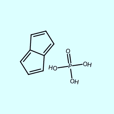 C1=CC2=CC=CC2=C1.O=P(O)(O)O